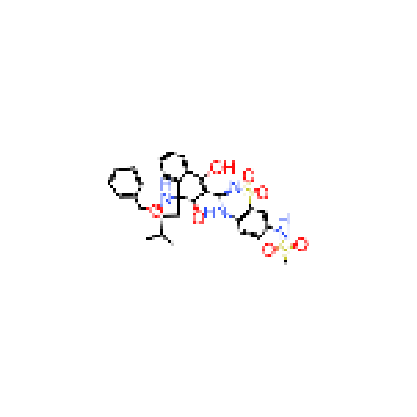 CC(C)CCC1(NOCc2ccccc2)C(=O)C(C2=NS(=O)(=O)c3cc(NS(C)(=O)=O)ccc3N2)=C(O)c2ccccc21